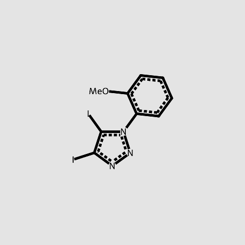 COc1ccccc1-n1nnc(I)c1I